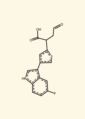 O=CCC(C(=O)O)c1cc(-c2c[nH]c3ccc(F)cc23)cs1